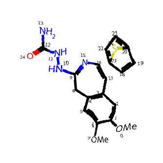 COc1cc2c(cc1OC)CC(NNC(N)=O)=NC=C2.c1cc2ccc1s2